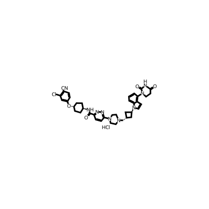 Cl.N#Cc1ccc(O[C@H]2CC[C@H](NC(=O)c3ccc(N4CCN(C[C@H]5C[C@H](n6ccc7c(N8CCC(=O)NC8=O)cccc76)C5)CC4)nn3)CC2)cc1Cl